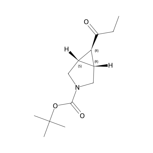 CCC(=O)[C@H]1[C@@H]2CN(C(=O)OC(C)(C)C)C[C@@H]21